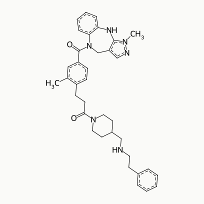 Cc1cc(C(=O)N2Cc3cnn(C)c3Nc3ccccc32)ccc1CCC(=O)N1CCC(CNCCc2ccccc2)CC1